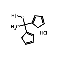 CC([O][Hf])(C1=CC=CC1)C1=CC=CC1.Cl